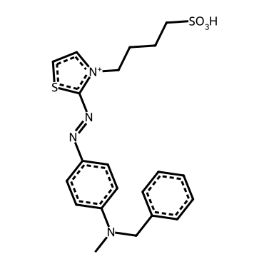 CN(Cc1ccccc1)c1ccc(N=Nc2scc[n+]2CCCCS(=O)(=O)O)cc1